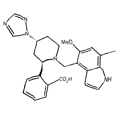 COc1cc(C)c2[nH]ccc2c1CN1CC[C@@H](n2cncn2)C[C@@H]1c1ccccc1C(=O)O